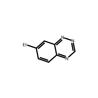 CCc1ccc2ncnnc2c1